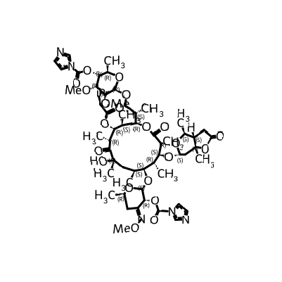 CON=C1C[C@@H](C)O[C@@H](O[C@@H]2[C@@H](C)[C@H](O[C@H]3C[C@@]4(C)OC(=O)C[C@H]4[C@H](C)O3)[C@@H](C)C(=O)O[C@H]([C@@H](C)CO[C@@H]3O[C@H](C)[C@@H](OC(=O)n4ccnc4)[C@@H](OC)[C@H]3OC)[C@H](C)[C@@H](OC(=O)CC(C)C)[C@@H](C)C(=O)[C@@](C)(O)C[C@@H]2C)[C@@H]1OC(=O)n1ccnc1